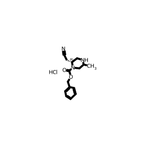 CC1CN(C(=O)OCc2ccccc2)[C@H](CC#N)CN1.Cl